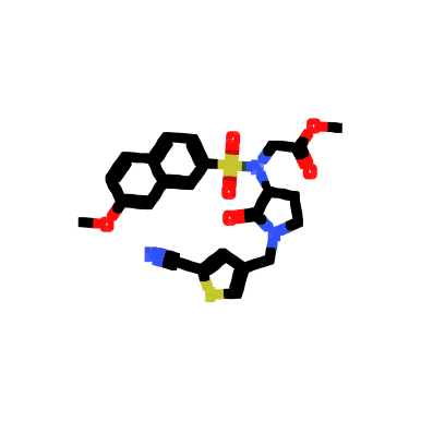 COC(=O)CN([C@H]1CCN(Cc2csc(C#N)c2)C1=O)S(=O)(=O)c1ccc2ccc(OC)cc2c1